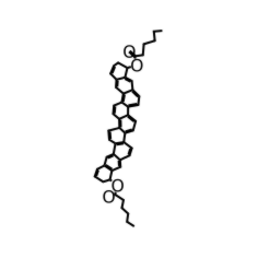 CCCCCC(=O)OC1CC=Cc2cc3c(ccc4c3ccc3c4ccc4c5ccc6cc7c(cc6c5ccc43)C=CCC7OC(=O)CCCCC)cc21